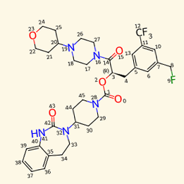 O=C(O[C@H](Cc1cc(CF)cc(C(F)(F)F)c1)C(=O)N1CCN(C2CCOCC2)CC1)N1CCC(N2CCc3ccccc3NC2=O)CC1